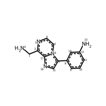 NCc1nccn2c(-c3cccc(N)c3)cnc12